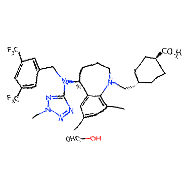 Cc1cc(C)c2c(c1)[C@@H](N(Cc1cc(C(F)(F)F)cc(C(F)(F)F)c1)c1nnn(C)n1)CCCN2C[C@H]1CC[C@H](C(=O)O)CC1.O=CO